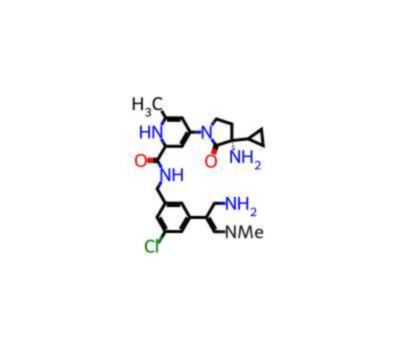 CN/C=C(\CN)c1cc(Cl)cc(CNC(=O)C2C=C(N3CC[C@@](N)(C4CC4)C3=O)C=C(C)N2)c1